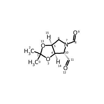 CC1(C)O[C@H]2[C@H](CN(C=O)[C@@H]2C=O)O1